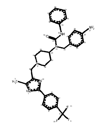 Cc1[nH]c(-c2ccc(C(F)(F)F)cc2)nc1CN1CCC(N(Cc2ccc(N)cc2)C(=O)Nc2ccccc2)CC1